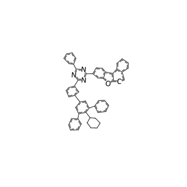 c1ccc(-c2nc(-c3cccc(-c4cc(-c5ccccc5)c(C5CCCCC5)c(-c5ccccc5)c4)c3)nc(-c3ccc4c(c3)oc3ccc5ccccc5c34)n2)cc1